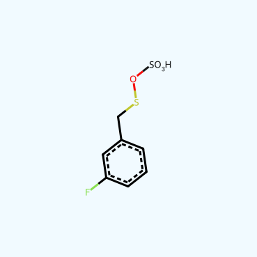 O=S(=O)(O)OSCc1cccc(F)c1